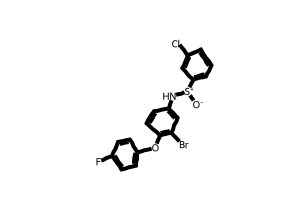 [O-][S+](Nc1ccc(Oc2ccc(F)cc2)c(Br)c1)c1cccc(Cl)c1